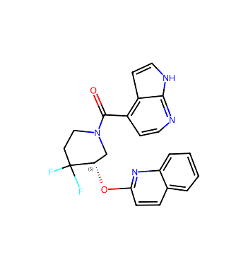 O=C(c1ccnc2[nH]ccc12)N1CCC(F)(F)[C@@H](Oc2ccc3ccccc3n2)C1